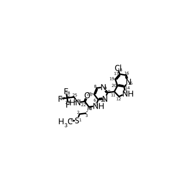 CSCC[C@@H](Nc1ccnc(C2CNc3ncc(Cl)cc32)n1)C(=O)NCC(F)(F)F